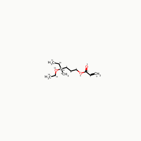 C=CC(=O)OCCC[Si](C)(CC)OCC